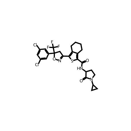 O=C(NC1CCN(C2CC2)C1=O)c1sc(C2=NOC(c3cc(Cl)cc(Cl)c3)(C(F)(F)F)C2)c2c1CCCC2